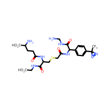 NCNC(=O)C(NC(=O)CSCC(NC(=O)CCC(N)C(=O)O)C(=O)NCC(=O)O)c1ccc(C2(C(F)(F)F)N=N2)cc1